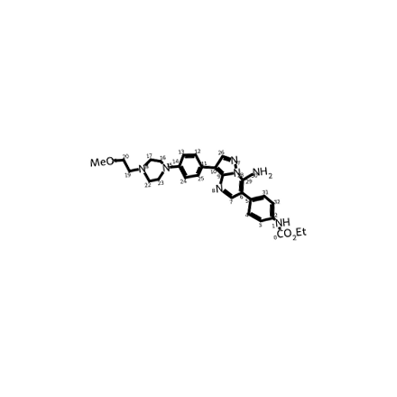 CCOC(=O)Nc1ccc(-c2cnc3c(-c4ccc(N5CCN(CCOC)CC5)cc4)cnn3c2N)cc1